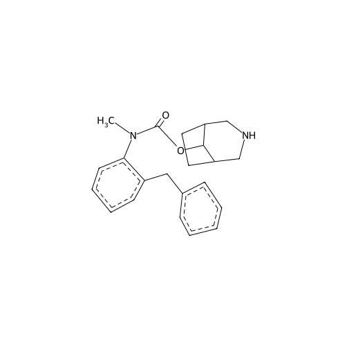 CN(C(=O)OC1C2CCC1CNC2)c1ccccc1Cc1ccccc1